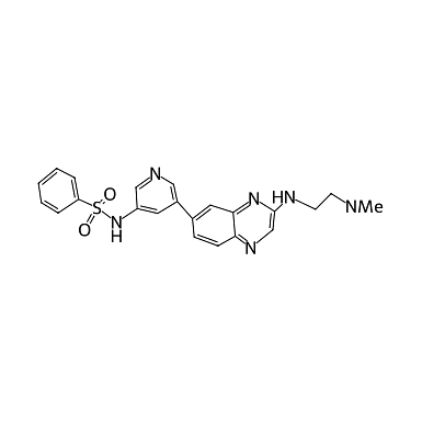 CNCCNc1cnc2ccc(-c3cncc(NS(=O)(=O)c4ccccc4)c3)cc2n1